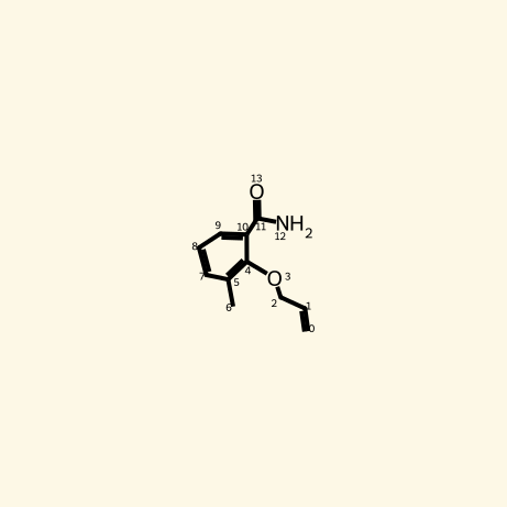 C=CCOc1c(C)cccc1C(N)=O